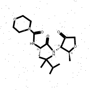 CC(C)C(C)(C)C[C@H](NC(=O)N1CCOCC1)C(=O)N[C@@H]1C(=O)CO[C@H]1C